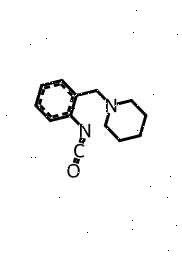 O=C=Nc1ccccc1CN1CCCCC1